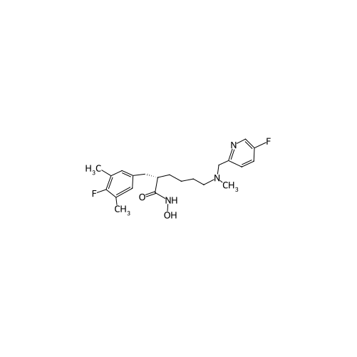 Cc1cc(C[C@H](CCCCN(C)Cc2ccc(F)cn2)C(=O)NO)cc(C)c1F